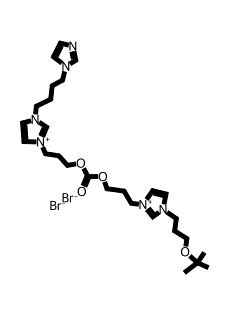 CC(C)(C)OCCCn1cc[n+](CCCOC(=O)OCCC[n+]2ccn(CCCCn3ccnc3)c2)c1.[Br-].[Br-]